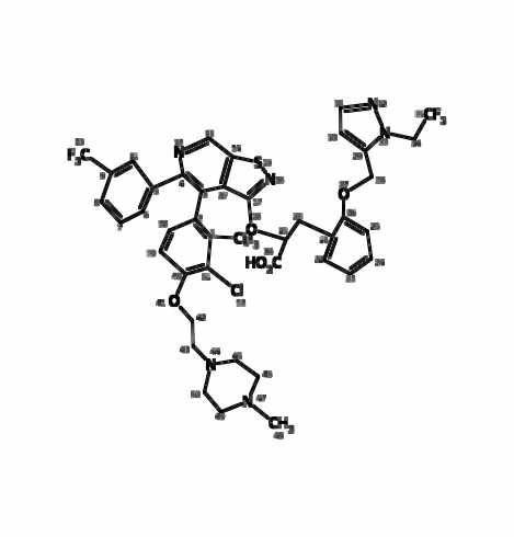 Cc1c(-c2c(-c3cccc(C(F)(F)F)c3)ncc3snc(OC(Cc4ccccc4OCc4ccnn4CC(F)(F)F)C(=O)O)c23)ccc(OCCN2CCN(C)CC2)c1Cl